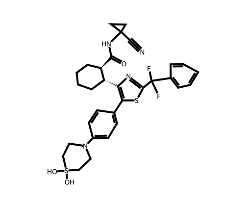 N#CC1(NC(=O)[C@@H]2CCCC[C@H]2c2nc(C(F)(F)c3ccccc3)sc2-c2ccc(N3CCS(O)(O)CC3)cc2)CC1